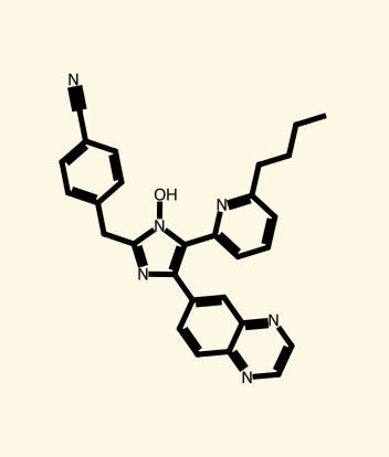 CCCCc1cccc(-c2c(-c3ccc4nccnc4c3)nc(Cc3ccc(C#N)cc3)n2O)n1